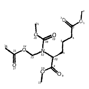 COC(=O)CCC[C@@H](C(=O)OC)N(COC(C)=O)C(=O)OC